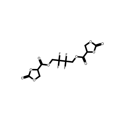 O=C1OCC(C(=O)OCC(F)(F)C(F)(F)COC(=O)C2COC(=O)O2)O1